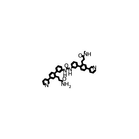 CNC(=O)CCc1cc(-c2cccnc2)ccc1-c1cccc(NC(=O)Nc2cccc(-c3ccc(-c4cccnc4)cc3CCC(N)=O)c2)c1